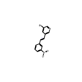 O=[N+]([O-])c1cccc(/C=C/c2cncc(Br)c2)c1